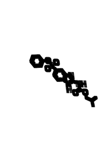 CC(C)COC(=O)Nc1nc2cc(S(=O)(=O)Oc3ccccc3)ccc2[nH]1